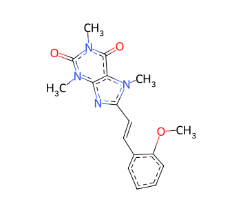 COc1ccccc1C=Cc1nc2c(c(=O)n(C)c(=O)n2C)n1C